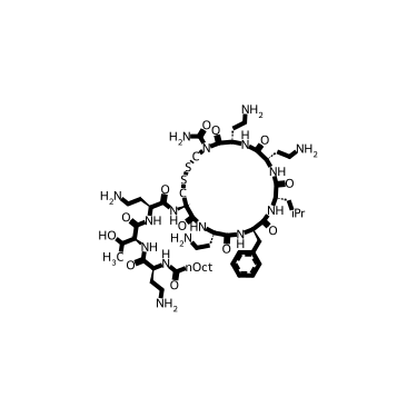 CCCCCCCCC(=O)N[C@@H](CCN)C(=O)N[C@H](C(=O)N[C@@H](CCN)C(=O)N[C@H]1CSSCN(C(N)=O)C(=O)[C@H](CCN)NC(=O)[C@H](CCN)NC(=O)[C@H](CC(C)C)NC(=O)[C@@H](Cc2ccccc2)NC(=O)[C@H](CCN)NC1=O)C(C)O